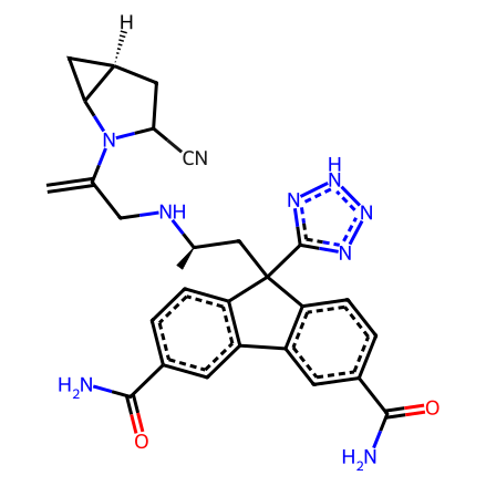 C=C(CN[C@H](C)CC1(c2nn[nH]n2)c2ccc(C(N)=O)cc2-c2cc(C(N)=O)ccc21)N1C(C#N)C[C@@H]2CC21